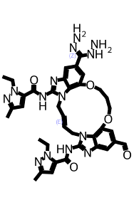 CCn1nc(C)cc1C(=O)Nc1nc2cc(C=O)cc3c2n1C/C=C/Cn1c(NC(=O)c2cc(C)nn2CC)nc2cc(/C(=N/N)NN)cc(c21)OCCCO3